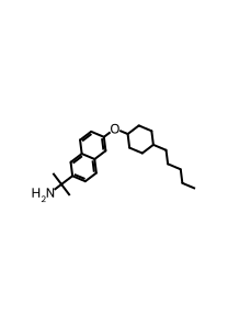 CCCCCC1CCC(Oc2ccc3cc(C(C)(C)N)ccc3c2)CC1